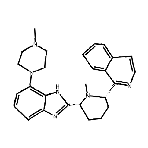 CN1CCN(c2cccc3nc([C@H]4CCC[C@@H](c5nccc6ccccc56)N4C)[nH]c23)CC1